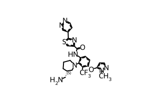 Cn1nccc1Oc1ccc(NC(=O)c2csc(-c3ccnnc3)n2)c(N2CCC[C@@H](CN)C2)c1C(F)(F)F